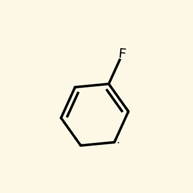 FC1=C[CH]CC=C1